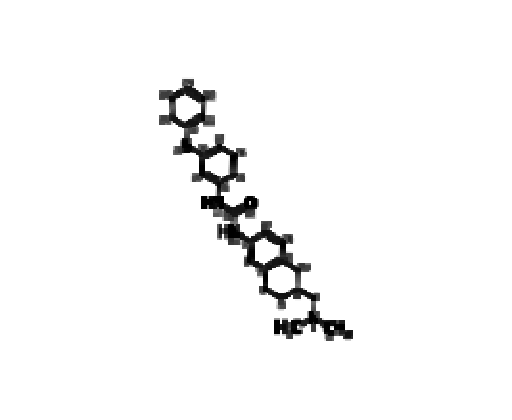 CN(C)CC1CCc2cc(NC(=O)Nc3cccc(Sc4ccccc4)c3)ccc2C1